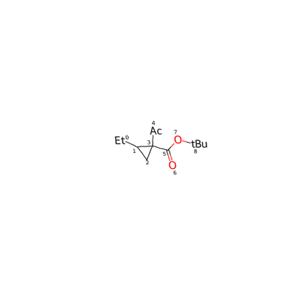 CCC1CC1(C(C)=O)C(=O)OC(C)(C)C